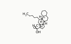 CCCCCC1C[C@]2(C)C(C(=O)O)CC[C@H]2[C@@H]2CCC3CCCC[C@@H]3[C@@H]12